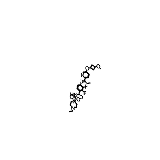 CC[C@@H](Oc1ccc(C(=O)NS(=O)(=O)N2CCN(CC)CC2)c(F)c1F)c1ccc(OC2CC(OC)C2)cn1